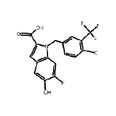 O=C(O)c1cc2cc(O)c(F)cc2n1Cc1ccc(Cl)c(C(F)(F)F)c1